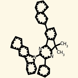 CC1(C)c2ccc(-c3ccc4ccccc4c3)cc2-c2nc(-n3c4ccccc4c4cc5ccccc5cc43)c(-c3ccccc3)nc21